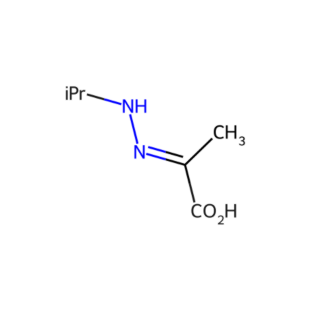 CC(=NNC(C)C)C(=O)O